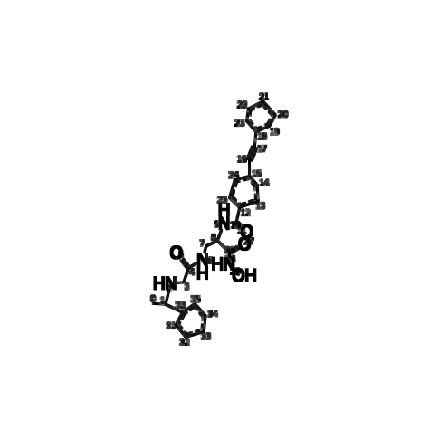 CC(NCC(=O)NCC(NC(=O)c1ccc(C#Cc2ccccc2)cc1)C(=O)NO)c1ccccc1